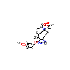 COc1ccc(COc2ncnc3cc(N4CCOCC4C)ccc23)cc1